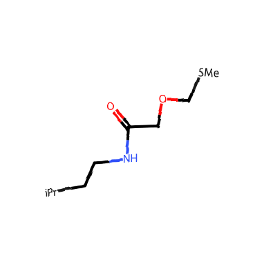 CSCOCC(=O)NCCC(C)C